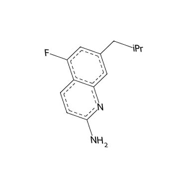 CC(C)Cc1cc(F)c2ccc(N)nc2c1